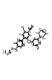 Cc1cc(Oc2cc(C#N)c(C)cc2-c2ncc(CCN)cn2)cc(N2CCOCC2)n1